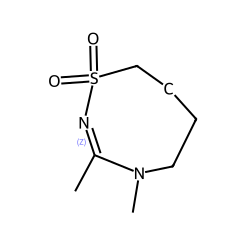 C/C1=N/S(=O)(=O)CCCCN1C